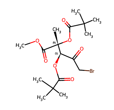 COC(=O)[C@](C)(OC(=O)C(C)(C)C)[C@H](OC(=O)C(C)(C)C)C(=O)CBr